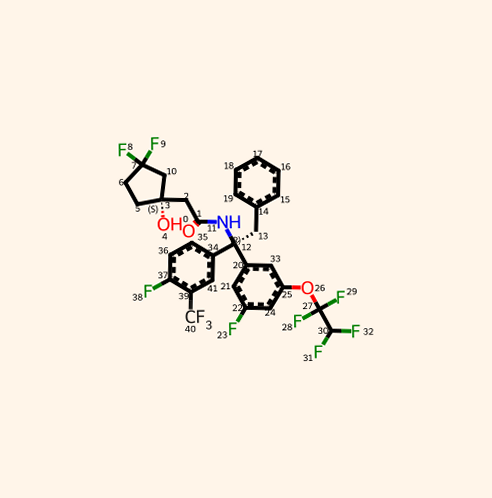 O=C(C[C@@]1(O)CCC(F)(F)C1)N[C@@](Cc1ccccc1)(c1cc(F)cc(OC(F)(F)C(F)F)c1)c1ccc(F)c(C(F)(F)F)c1